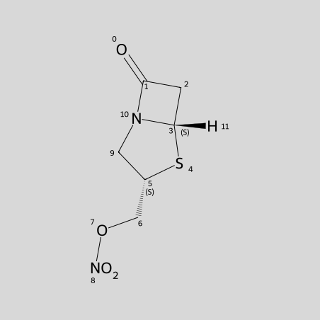 O=C1C[C@@H]2S[C@H](CO[N+](=O)[O-])CN12